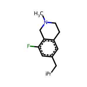 CC(C)Cc1cc(F)c2c(c1)CCN(C)C2